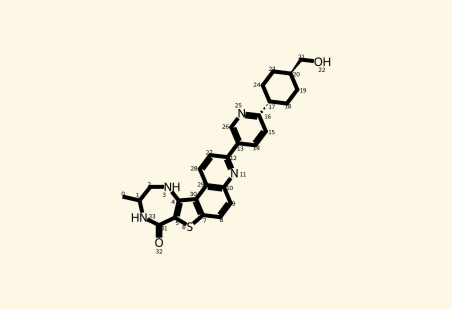 CC1CNc2c(sc3ccc4nc(-c5ccc([C@H]6CC[C@H](CO)CC6)nc5)ccc4c23)C(=O)N1